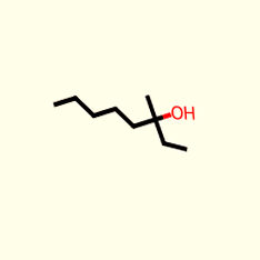 CCCCCC(C)(O)CC